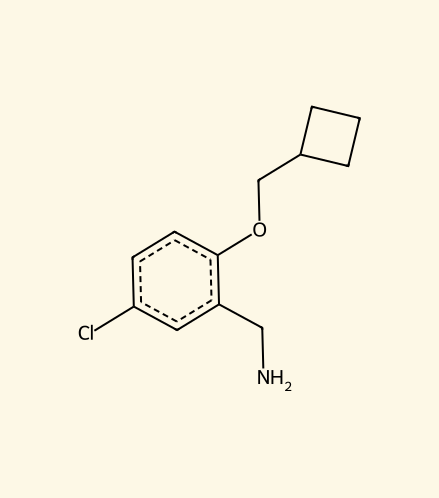 NCc1cc(Cl)ccc1OCC1CCC1